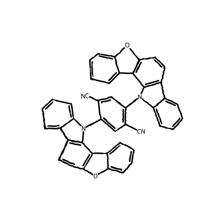 N#Cc1cc(-n2c3ccccc3c3ccc4oc5ccccc5c4c32)c(C#N)cc1-n1c2ccccc2c2ccc3oc4ccccc4c3c21